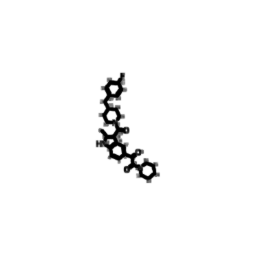 Cc1[nH]c2ccc(C(=O)C(=O)N3CCCCC3)cc2c1C(=O)N1CCC(Cc2ccc(F)cc2)CC1